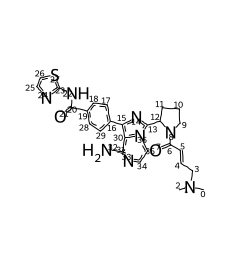 CN(C)C/C=C/C(=O)N1CCCC1c1nc(-c2ccc(C(=O)Nc3nccs3)cc2)c2c(N)nccn12